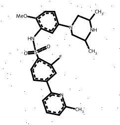 COc1ccc(N2CC(C)NC(C)C2)cc1NS(=O)(=O)c1ccc(-c2cccc(C)n2)cc1F